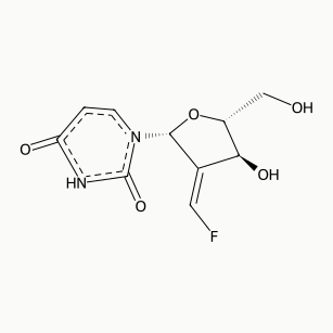 O=c1ccn([C@@H]2O[C@H](CO)[C@@H](O)C2=CF)c(=O)[nH]1